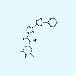 CC1CC(N(C(=O)c2csc(-c3cnn(-c4ccccc4)c3)n2)C(C)C)CC(C)N1